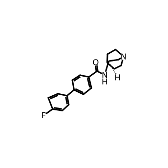 O=C(N[C@@H]1CN2CCC1CC2)c1ccc(-c2ccc(F)cc2)cc1